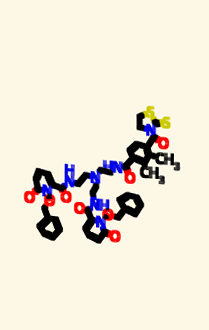 Cc1c(C(=O)NCCN(CCNC(=O)c2cccc(=O)n2OCc2ccccc2)CCNC(=O)c2cccc(=O)n2OCc2ccccc2)ccc(C(=O)N2CCSC2=S)c1C